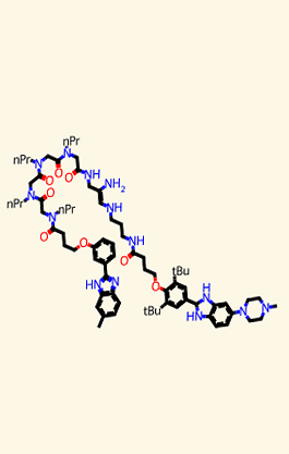 CCCN(CC(=O)NC/C(N)=C/NCCCNC(=O)CCCOc1c(C(C)(C)C)cc(C2Nc3ccc(N4CCN(C)CC4)cc3N2)cc1C(C)(C)C)C(=O)CN(CCC)C(=O)CN(CCC)C(=O)CN(CCC)C(=O)CCCOc1cccc(-c2nc3ccc(C)cc3[nH]2)c1